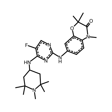 CN1C(=O)C(C)(C)Oc2cc(Nc3ncc(F)c(NC4CC(C)(C)N(C)C(C)(C)C4)n3)ccc21